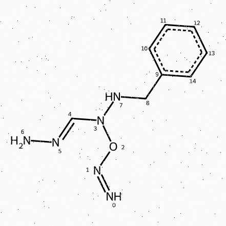 N=NON(/C=N/N)NCc1ccccc1